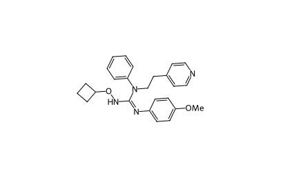 COc1ccc(N=C(NOC2CCC2)N(CCc2ccncc2)c2ccccc2)cc1